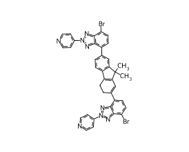 CC1(C)C2=C(CCC(c3ccc(Br)c4nn(-c5ccncc5)nc34)=C2)c2ccc(-c3ccc(Br)c4nn(-c5ccncc5)nc34)cc21